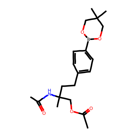 CC(=O)NC(C)(CCc1ccc(B2OCC(C)(C)CO2)cc1)COC(C)=O